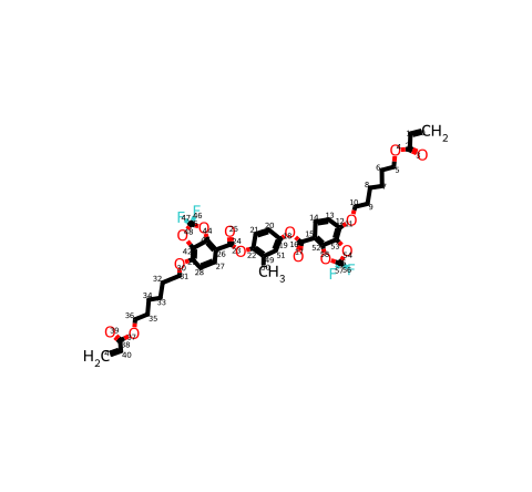 C=CC(=O)OCCCCCCOc1ccc(C(=O)Oc2ccc(OC(=O)c3ccc(OCCCCCCOC(=O)C=C)c4c3OC(F)(F)O4)c(C)c2)c2c1OC(F)(F)O2